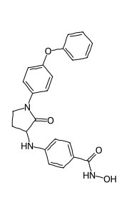 O=C(NO)c1ccc(NC2CCN(c3ccc(Oc4ccccc4)cc3)C2=O)cc1